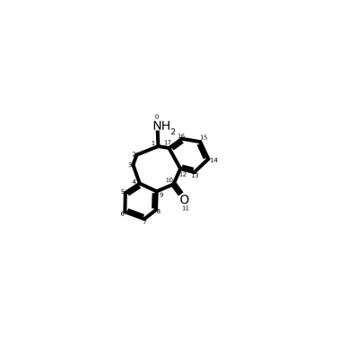 NC1CCc2ccccc2C(=O)c2ccccc21